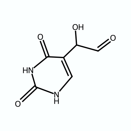 O=CC(O)c1c[nH]c(=O)[nH]c1=O